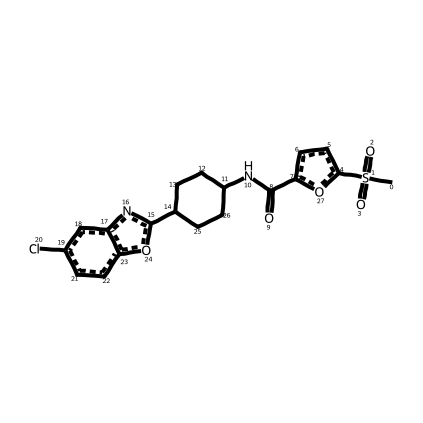 CS(=O)(=O)c1ccc(C(=O)NC2CCC(c3nc4cc(Cl)ccc4o3)CC2)o1